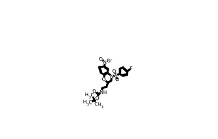 CC(C)(C)OC(=O)NCCC1CN(S(=O)(=O)c2ccc(F)cc2)c2cc([N+](=O)[O-])ccc2O1